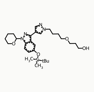 CC(C)(C)[Si](C)(C)Oc1ccc2c(c1)c(-c1cnn(CCCCOCCCO)c1)nn2C1CCCCO1